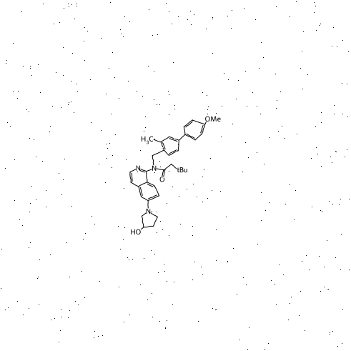 COc1ccc(-c2ccc(CN(C(=O)CC(C)(C)C)c3nccc4cc(N5CCC(O)C5)ccc34)c(C)c2)cc1